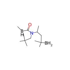 BC(C)(C)CC(C)N(CC(C)(C)C)C(=O)BC